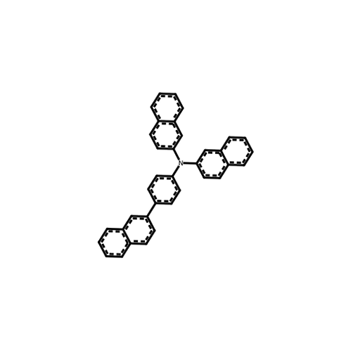 c1ccc2cc(-c3ccc(N(c4ccc5ccccc5c4)c4ccc5ccccc5c4)cc3)ccc2c1